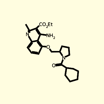 CCOC(=O)c1c(C)nc2cccc(OCC3CCCN3C(=O)C3CCCCC3)c2c1N